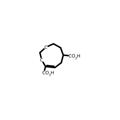 O=C(O)C1=CCC(C(=O)O)CCCCC1